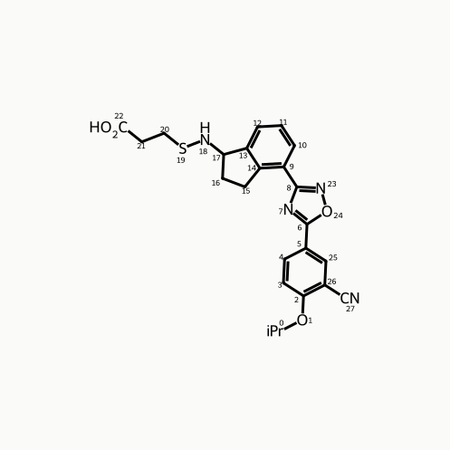 CC(C)Oc1ccc(-c2nc(-c3cccc4c3CCC4NSCCC(=O)O)no2)cc1C#N